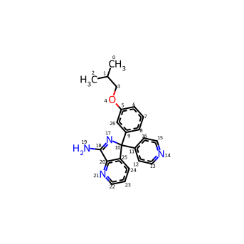 CC(C)COc1cccc(C2(c3ccncc3)N=C(N)c3ncccc32)c1